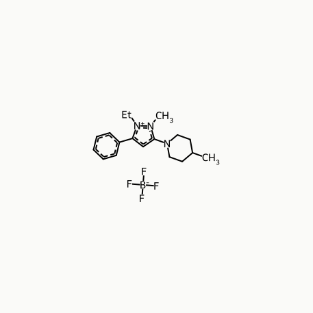 CC[n+]1c(-c2ccccc2)cc(N2CCC(C)CC2)n1C.F[B-](F)(F)F